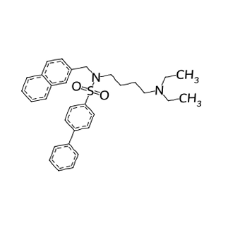 CCN(CC)CCCCN(Cc1ccc2ccccc2c1)S(=O)(=O)c1ccc(-c2ccccc2)cc1